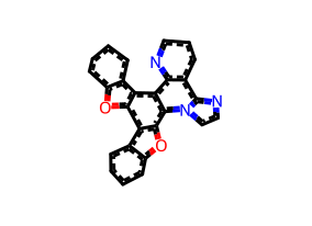 c1ccc2c(c1)oc1c2c2oc3ccccc3c2c2c3ncccc3c3nccn3c12